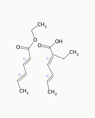 C/C=C/C=C(\CC)C(=O)O.C/C=C/C=C/C(=O)OCC